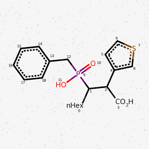 CCCCCCC(C(C(=O)O)c1ccsc1)P(=O)(O)Cc1ccccc1